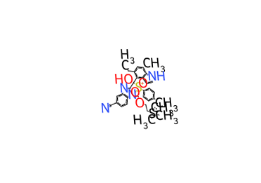 CCc1cc(C)c2[nH]ccc2c1C(O)(c1nc2cc(C#N)ccc2n1COCC[Si](C)(C)C)S(=O)(=O)c1ccc(C)cc1